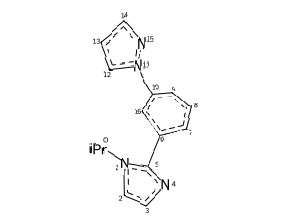 CC(C)n1ccnc1-c1cccc(-n2cccn2)c1